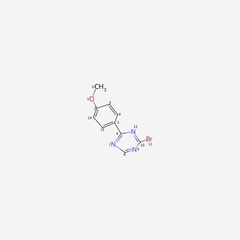 COc1ccc(-c2ncnc(Br)n2)cc1